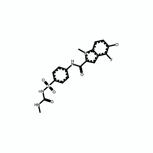 CNC(=O)NS(=O)(=O)c1ccc(NC(=O)c2cc3c(F)c(Cl)ccc3n2C)cc1